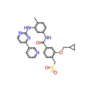 Cc1ccc(NC(=O)c2ccc(C[SH](=O)=O)c(OCC3CC3)c2)cc1Nc1nccc(-c2cccnc2)n1